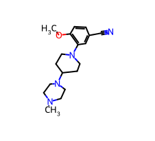 COc1ccc(C#N)cc1N1CCC(N2CCN(C)CC2)CC1